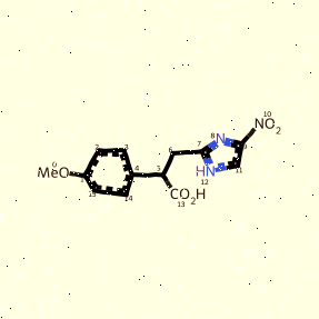 COc1ccc(C(Cc2nc([N+](=O)[O-])c[nH]2)C(=O)O)cc1